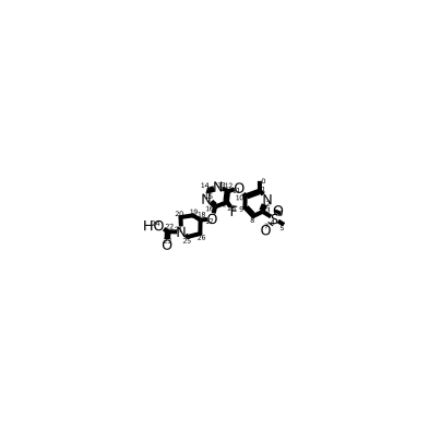 Cc1nc(S(C)(=O)=O)ccc1Oc1ncnc(OC2CCN(C(=O)O)CC2)c1F